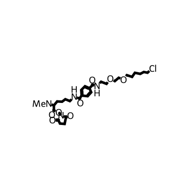 CNC(CCCCNC(=O)c1ccc(C(=O)NCCOCCOCCCCCCCl)cc1)C(=O)ON1C(=O)CCC1=O